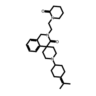 CC(C)=C1CCC(N2CCC3(CC2)C(=O)N(CCN2CCCCC2=O)Cc2ccccc23)CC1